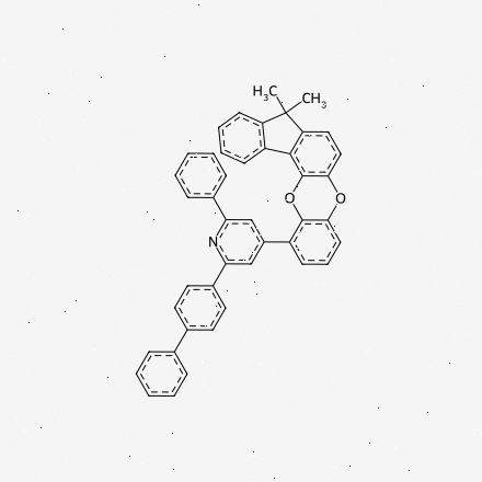 CC1(C)c2ccccc2-c2c1ccc1c2Oc2c(cccc2-c2cc(-c3ccccc3)nc(-c3ccc(-c4ccccc4)cc3)c2)O1